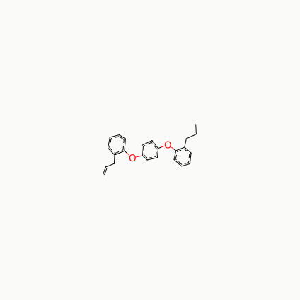 C=CCc1ccccc1Oc1ccc(Oc2ccccc2CC=C)cc1